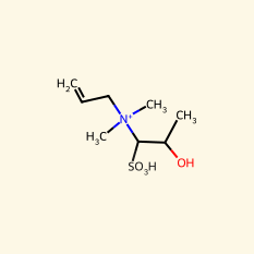 C=CC[N+](C)(C)C(C(C)O)S(=O)(=O)O